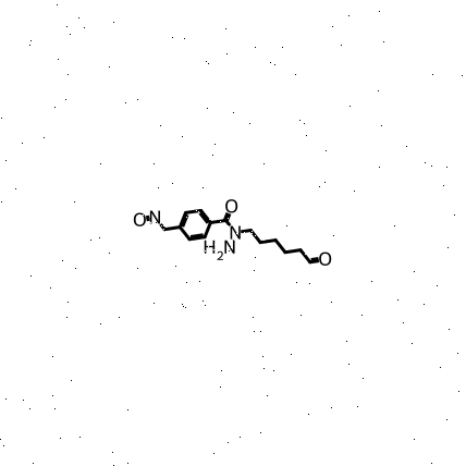 NN(CCCCCC=O)C(=O)c1ccc(CN=O)cc1